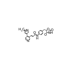 Cn1cc(-c2ccncc2C=CC(=O)Nc2ccc(CC3OC(=O)NC3=O)cc2)cn1